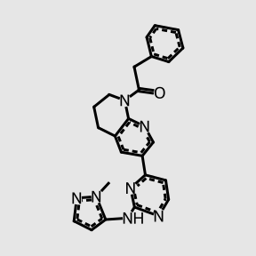 Cn1nccc1Nc1nccc(-c2cnc3c(c2)CCCN3C(=O)Cc2ccccc2)n1